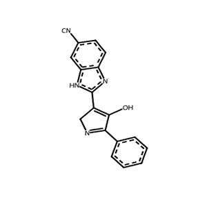 [C-]#[N+]c1ccc2nc(C3=C(O)C(c4ccccc4)=NC3)[nH]c2c1